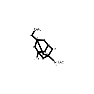 CCC12CC3CC(COC(C)=O)(C1)CC(NC(C)=O)(C3)C2